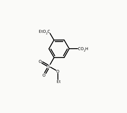 CCOC(=O)c1cc(C(=O)O)cc(S(=O)(=O)OCC)c1